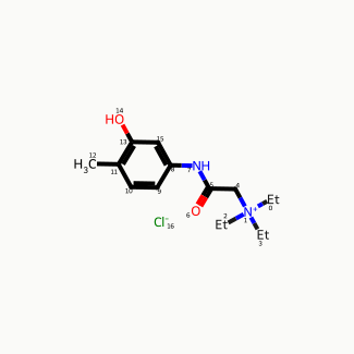 CC[N+](CC)(CC)CC(=O)Nc1ccc(C)c(O)c1.[Cl-]